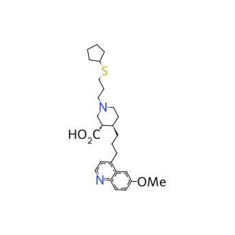 COc1ccc2nccc(CCC[C@@H]3CCN(CCCSC4CCCC4)C[C@@H]3C(=O)O)c2c1